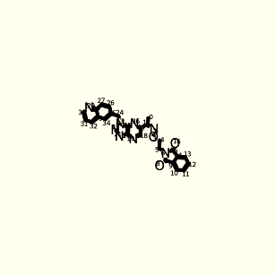 C/C(=N/OCCN1C(=O)c2ccccc2C1=O)c1cnc2nnn(Cc3ccc4ncccc4c3)c2n1